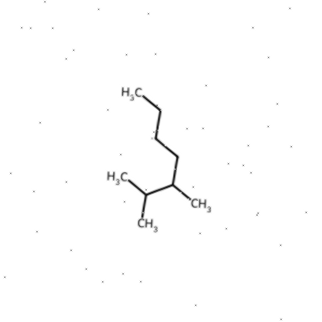 CC[CH]CC(C)C(C)C